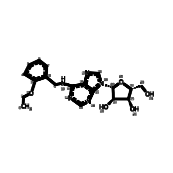 CCOc1ccccc1CNc1ncnc2c1ncn2[C@@H]1O[C@H](CO)[C@@H](O)[C@H]1O